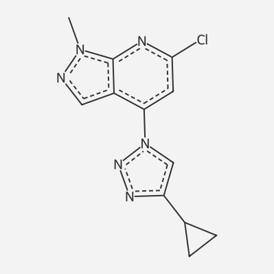 Cn1ncc2c(-n3cc(C4CC4)nn3)cc(Cl)nc21